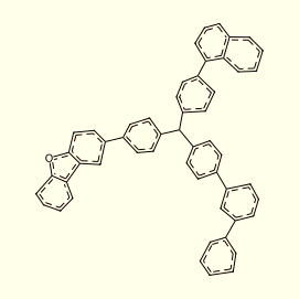 c1ccc(-c2cccc(-c3ccc(C(c4ccc(-c5ccc6oc7ccccc7c6c5)cc4)c4ccc(-c5cccc6ccccc56)cc4)cc3)c2)cc1